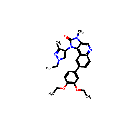 CCOc1ccc(-c2ccc3ncc4c(c3c2)n(-c2cn(CC)nc2C)c(=O)n4C)cc1OCC